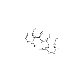 O=C(OC(=O)c1c(F)cccc1F)c1c(F)cccc1F